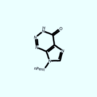 CCCCCn1cnc2c(=O)[nH]nnc21